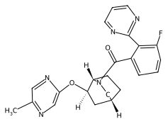 Cc1cnc(O[C@@H]2C[C@H]3CC[C@@H]2N(C(=O)c2cccc(F)c2-c2ncccn2)C3)cn1